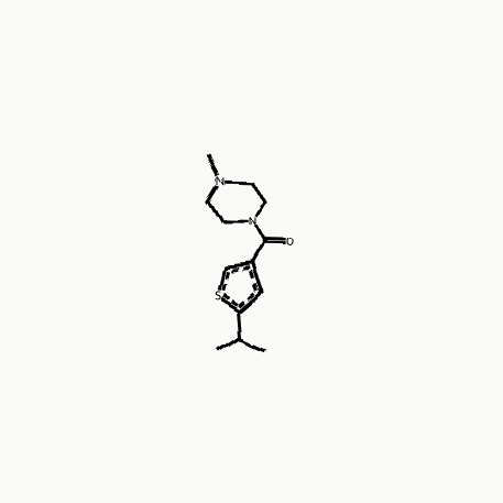 CC(C)c1cc(C(=O)N2CCN(C)CC2)cs1